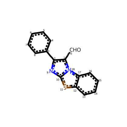 O=Cc1c(-c2ccccc2)nc2sc3ccccc3n12